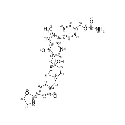 Cn1nc2c(=O)n(CC3(O)CCN(Cc4ccc(C5=NCCO5)cc4Cl)CC3)cnc2c1-c1ccc(COC(N)=O)cc1